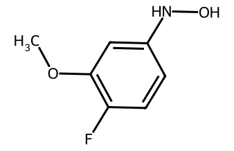 COc1cc(NO)ccc1F